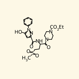 CCOC(=O)N1CCN(C(=O)C(CCS(C)(=O)=O)NC(=O)c2cc(O)n(-c3ccccc3)n2)CC1